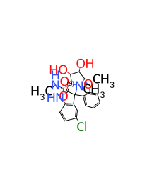 CNC(=O)[C@@H]1C(O)C(O)C[N+]1(C)C1(c2ccccc2OC)C(=O)Nc2ccc(Cl)cc21